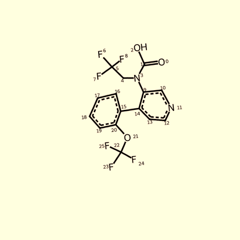 O=C(O)N(CC(F)(F)F)c1cnccc1-c1ccccc1OC(F)(F)F